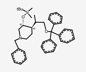 CC(COC(c1ccccc1)(c1ccccc1)c1ccccc1)[C@H]1CCN(Cc2ccccc2)C[C@@H]1O[Si](C)(C)C(C)(C)C